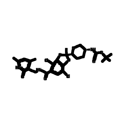 Cc1cc(C)c(CNC(=O)c2cc(Cl)c3c(c2Cl)OC(C)([C@@H]2CC[C@@H](NC(=O)OC(C)(C)C)CO2)O3)c(=O)[nH]1